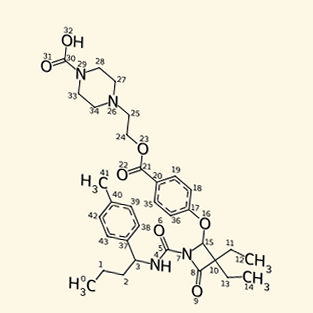 CCCC(NC(=O)N1C(=O)C(CC)(CC)C1Oc1ccc(C(=O)OCCN2CCN(C(=O)O)CC2)cc1)c1ccc(C)cc1